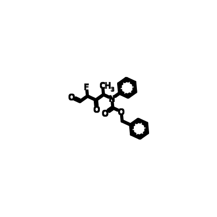 CC(C(=O)C(F)C=O)N(C(=O)OCc1ccccc1)c1ccccc1